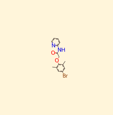 Cc1cc(Br)cc(C)c1OCC(=O)Nc1ccccn1